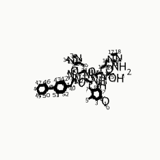 COc1cc(C)c(C[C@H](NC(=O)[C@@H](CCCn2ccnc2N)NC(=O)O)C(=O)N[C@@H](Cc2cn(C)cn2)c2nc(Cc3ccc(-c4ccccc4)cc3)no2)c(C)c1